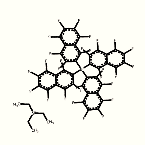 CC[Si+](CC)CC.Fc1c(F)c(F)c2c(F)c([B-](c3c(F)c(F)c4c(F)c(F)c(F)c(F)c4c3F)(c3c(F)c(F)c4c(F)c(F)c(F)c(F)c4c3F)c3c(F)c(F)c4c(F)c(F)c(F)c(F)c4c3F)c(F)c(F)c2c1F